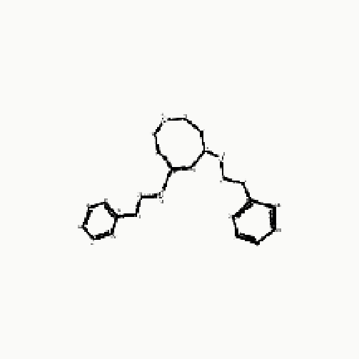 c1ccc(CCOC2CCOCCC(OCCc3ccccc3)C2)cc1